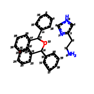 NCCc1c[nH]cn1.c1ccc(C(OC(c2ccccc2)c2ccccc2)c2ccccc2)cc1